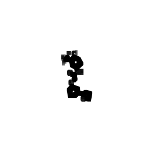 O=C(COc1cccc(-c2ccco2)c1)Nc1ccc(Cl)c(C(F)(F)F)c1